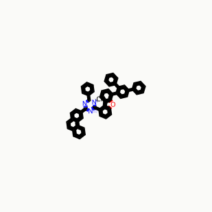 C=N/C(=N\C(=N/Cc1ccccc1)c1ccc2ccc3ccccc3c2c1)c1cccc2oc3c(-c4ccc(-c5ccccc5)cc4-c4ccccc4)cccc3c12